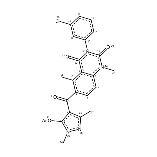 CC(=O)Oc1c(C(=O)c2ccc3c(c2C)c(=O)n(-c2cccc(Cl)c2)c(=O)n3C)c(C)nn1C